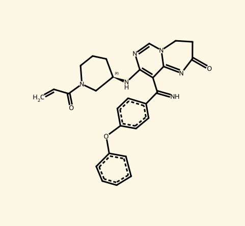 C=CC(=O)N1CCC[C@@H](NC2=C(C(=N)c3ccc(Oc4ccccc4)cc3)C3=NC(=O)CCN3C=N2)C1